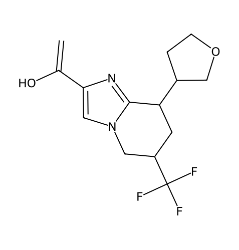 C=C(O)c1cn2c(n1)C(C1CCOC1)CC(C(F)(F)F)C2